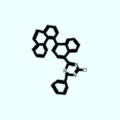 Clc1nc(-c2ccccc2)nc(-c2ccc(-c3cccc4ccc5ccccc5c34)c3ccccc23)n1